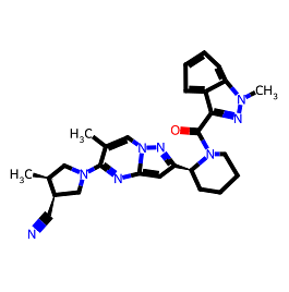 Cc1cn2nc([C@@H]3CCCCN3C(=O)c3nn(C)c4ccccc34)cc2nc1N1C[C@@H](C#N)[C@@H](C)C1